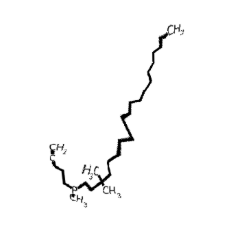 C=C=CCCP(C)CCC(C)(C)CCCCCCCCCCCCCCCCC